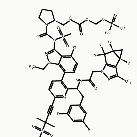 CC(C)(C#Cc1ccc(-c2ccc(Cl)c3c(N(C(=O)N4CCC[C@H]4CNC(=O)OCOP(=O)(O)O)S(C)(=O)=O)nn(CC(F)(F)F)c23)c([C@H](Cc2cc(F)cc(F)c2)NC(=O)Cn2nc(C(F)(F)F)c3c2C(F)(F)[C@@H]2C[C@H]32)n1)S(C)(=O)=O